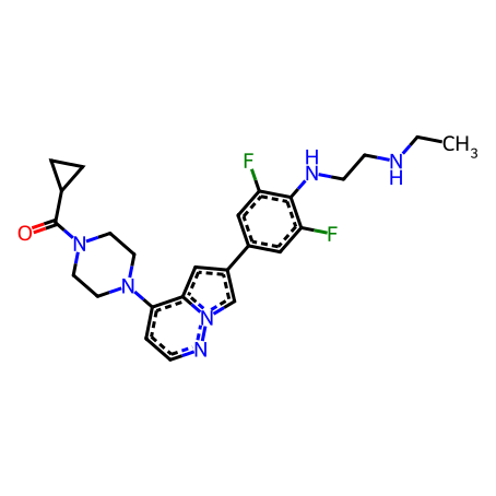 CCNCCNc1c(F)cc(-c2cc3c(N4CCN(C(=O)C5CC5)CC4)ccnn3c2)cc1F